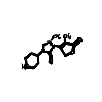 CC1=C(N2C(=O)N(C3CCNCC3)C[C@@H]2C)COC1=O